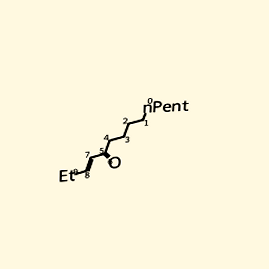 [CH2]CCCCCCCCC(=O)C=CCC